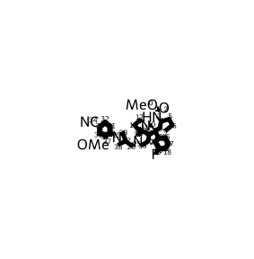 COC(=O)N[C@H]1CCC[C@@H]1[C@](CN1CCC1)(c1cccc(F)c1)C1CCN(CC2CN(c3ccc(C#N)cc3OC)C2)CC1